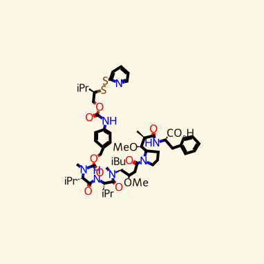 CC[C@H](C)[C@@H]([C@@H](CC(=O)N1CCCC1[C@H](OC)[C@@H](C)C(=O)N[C@@H](Cc1ccccc1)C(=O)O)OC)N(C)C(=O)[C@@H](NC(=O)[C@H](C(C)C)N(C)C(=O)OCc1ccc(NC(=O)OC[C@H](SSc2ccccn2)C(C)C)cc1)C(C)C